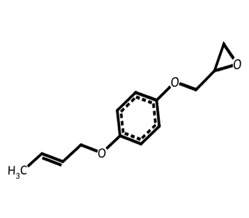 CC=CCOc1ccc(OCC2CO2)cc1